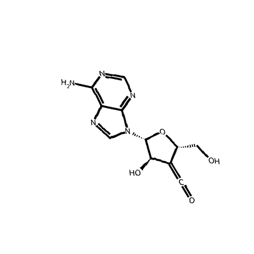 Nc1ncnc2c1ncn2[C@@H]1O[C@H](CO)C(=C=O)[C@H]1O